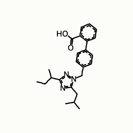 CCC(C)c1nc(CC(C)C)n(Cc2ccc(-c3ccccc3C(=O)O)cc2)n1